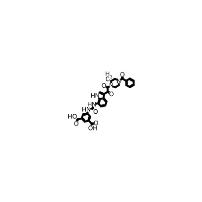 C[C@@H]1CN(C(=O)c2ccccc2)CCN1C(=O)C(=O)c1c[nH]c2c(NC(=O)Nc3cc(C(=O)O)cc(C(=O)O)c3)cccc12